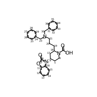 O=C(O)N1CC[C@H](n2c(=O)oc3ccccc32)CC1CCCN(Cc1ccccc1)Cc1ccccc1